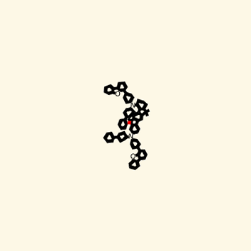 CC1(C)c2cc(N(c3ccc(-c4ccccc4)cc3)c3ccc(-c4cccc5c4oc4ccccc45)cc3)ccc2-c2cc3c(cc21)-c1c(N(c2ccc(-c4ccccc4)cc2)c2ccc(-c4cccc5c4oc4ccccc45)cc2)cccc1C3(C)C